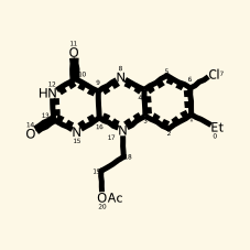 CCc1cc2c(cc1Cl)nc1c(=O)[nH]c(=O)nc-1n2CCOC(C)=O